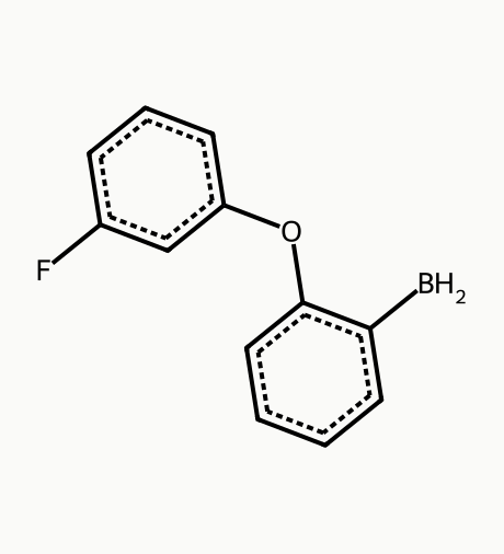 Bc1ccccc1Oc1cccc(F)c1